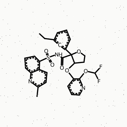 CCc1cccc(C2(C(=O)NS(=O)(=O)c3cccc4nc(C)ccc34)OCCC2Oc2cccnc2OC(F)F)c1